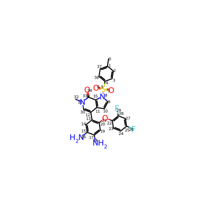 Cc1ccc(S(=O)(=O)n2ccc3c(-c4cc(N)c(N)cc4Oc4ccc(F)cc4F)cn(C)c(=O)c32)cc1